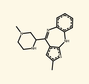 Cc1cc2c(s1)Nc1ccccc1N=C2C1CN(C)CCN1